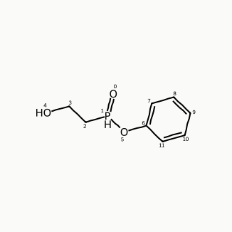 O=[PH](CCO)Oc1ccccc1